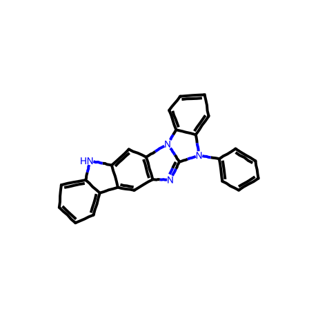 c1ccc(-n2c3ccccc3n3c4cc5[nH]c6ccccc6c5cc4nc23)cc1